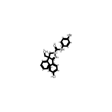 CCC1(c2ccccc2)CN(C(=O)Nc2ccc(Br)cc2)N=C1c1ccc(Cl)cc1